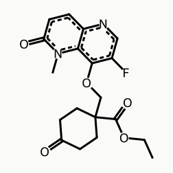 CCOC(=O)C1(COc2c(F)cnc3ccc(=O)n(C)c23)CCC(=O)CC1